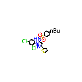 CCCCc1ccc(S(=O)(=O)Nc2cc(-c3cccs3)nn2-c2ccc(Cl)cc2Cl)cc1